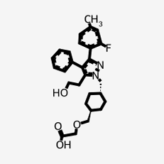 Cc1ccc(-c2nn(C[C@H]3CC[C@H](COCC(=O)O)CC3)c(CCO)c2-c2ccccc2)c(F)c1